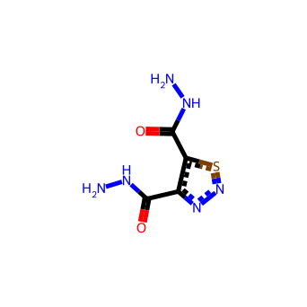 NNC(=O)c1nnsc1C(=O)NN